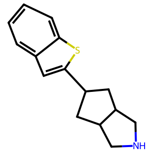 c1ccc2sc(C3CC4CNCC4C3)cc2c1